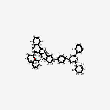 c1ccc(-c2cc(-c3ccc(-c4ccc5c(c4)c4oc6c7ccccc7nc(-c7ccccc7)c6c4n5-c4ccccc4)cc3)nc(-c3ccccc3)n2)cc1